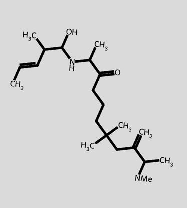 C=C(CC(C)(C)CCCC(=O)C(C)NC(O)C(C)C=CC)C(C)NC